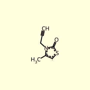 C#CCn1c(C)[c]sc1=O